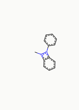 Cn1c2ccccc2n1-c1ccccc1